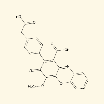 COc1c2oc3ccccc3nc-2c(C(=O)O)c(-c2ccc(CC(=O)O)cc2)c1=O